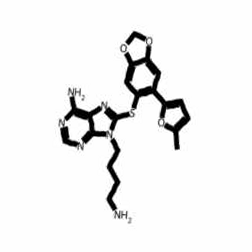 Cc1ccc(-c2cc3c(cc2Sc2nc4c(N)ncnc4n2CCCCN)OCO3)o1